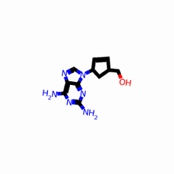 Nc1nc(N)c2ncn(C3C=CC(CO)C3)c2n1